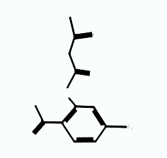 CC(=O)CC(=O)Oc1cc(N)ccc1C(=O)O